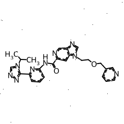 CC(C)n1cnnc1-c1cccc(NC(=O)c2cc3c(cn2)ncn3CCOCc2cccnc2)n1